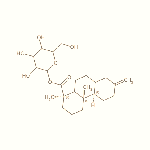 C=C1CC[C@@H]2C(CCC3[C@](C)(C(=O)OC4OC(CO)C(O)C(O)C4O)CCC[C@]32C)C1